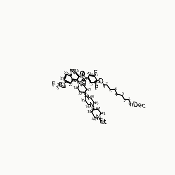 CCCCCCCCCCCCCCCCCCOc1c(F)cc(S(=O)(=O)c2cnc3ccc(OC(F)(F)F)cc3c2N2CCC(N3CCN(C4CCN(CC)CC4)CC3)CC2)cc1F